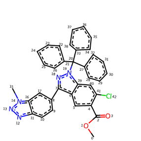 COC(=O)c1cc2c(-c3ccc4nnn(C)c4c3)nn(C(c3ccccc3)(c3ccccc3)c3ccccc3)c2cc1Cl